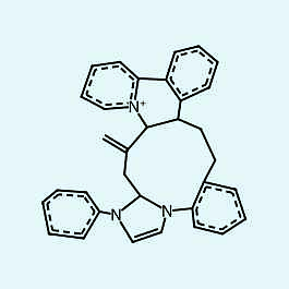 C=C1CC2N(c3ccccc3)C=CN2c2ccccc2CCC2c3ccccc3-c3cccc[n+]3C12